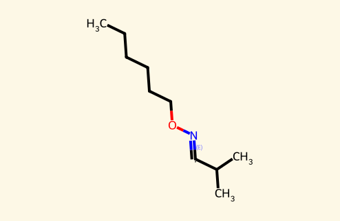 CCCCCCO/N=[C]/C(C)C